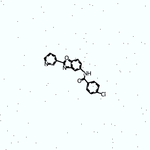 O=C(Nc1ccc2oc(-c3cccnc3)nc2c1)c1ccc(Cl)cc1